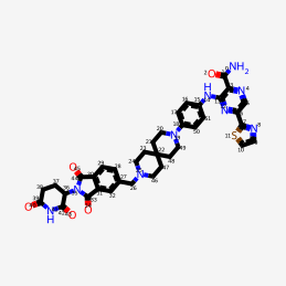 NC(=O)c1ncc(-c2nccs2)nc1Nc1ccc(N2CCC3(CCN(Cc4ccc5c(c4)C(=O)N(C4CCC(=O)NC4=O)C5=O)CC3)CC2)cc1